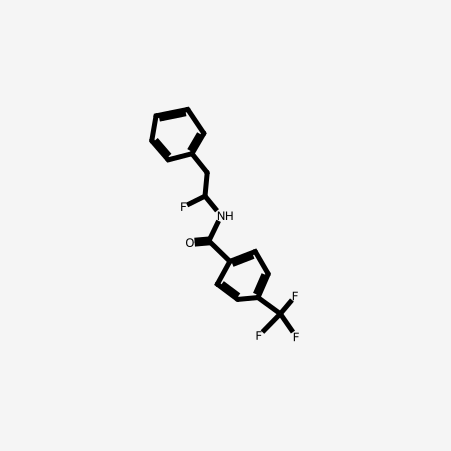 O=C(NC(F)Cc1ccccc1)c1ccc(C(F)(F)F)cc1